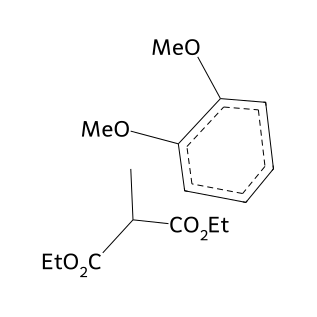 CCOC(=O)C(C)C(=O)OCC.COc1ccccc1OC